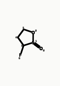 O=S1OCCC1F